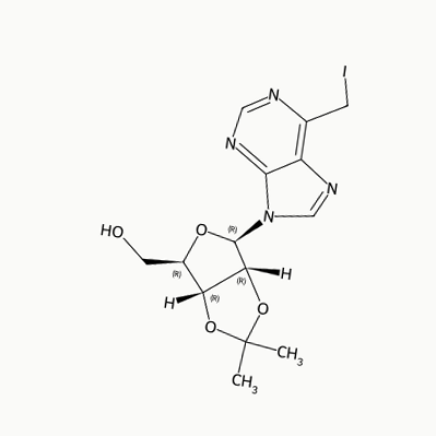 CC1(C)O[C@@H]2[C@H](O1)[C@@H](CO)O[C@H]2n1cnc2c(CI)ncnc21